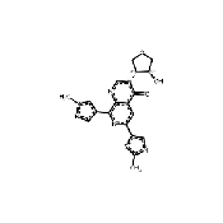 Cc1ncc(-c2cc3c(=O)n([C@@H]4COC[C@H]4O)cnc3c(-c3cnn(C)c3)n2)s1